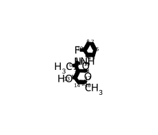 CC(=NNc1ccccc1F)c1c(O)cc(C)oc1=O